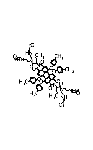 CCCC(C(=O)N(CCNCC1CO1)CCNCC1CO1)N1C(=O)c2cc(Oc3ccc(C)cc3)c3c4c(Oc5ccc(C)cc5)cc5c6c(cc(Oc7ccc(C)cc7)c(c7c(Oc8ccc(C)cc8)cc(c2c37)C1=O)c64)C(=O)N(C(CCC)C(=O)N(CCNCC1CO1)CCNCC1CO1)C5=O